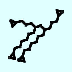 C(CSCC(CSCC1CO1)SC(CSCCSCC1CO1)CSCC1CO1)SCC1CO1